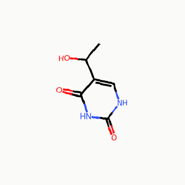 CC(O)c1c[nH]c(=O)[nH]c1=O